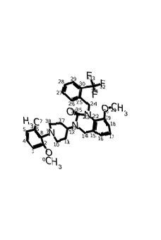 COc1cccc(C)c1N1CCC(N2Cc3cccc(OC)c3N(Cc3ccccc3C(F)(F)F)C2=O)CC1